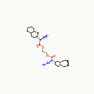 [N-]=[N+]=C(C(=O)OCCOC(=O)C(=[N+]=[N-])c1ccc2ccccc2c1)c1ccc2ccccc2c1